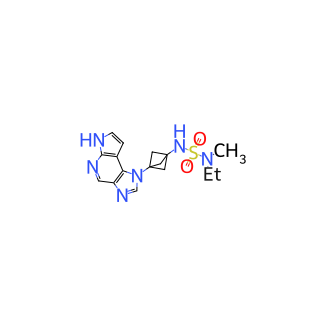 CCN(C)S(=O)(=O)NC12CC(n3cnc4cnc5[nH]ccc5c43)(C1)C2